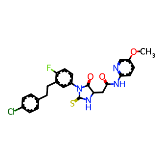 COc1ccc(NC(=O)CC2NC(=S)N(c3ccc(F)c(CCc4ccc(Cl)cc4)c3)C2=O)nc1